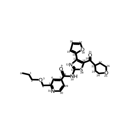 CCCOCc1cc(C(=O)Nc2nc(-c3ccco3)c(C(=O)C3CCOCC3)s2)ccn1